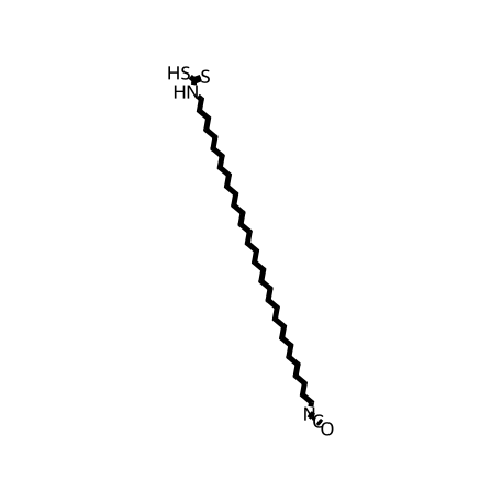 O=C=NCCCCCCCCCCCCCCCCCCCCCCCCCCCCCCCCCNC(=S)S